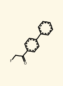 O=C(CF)c1ccc(-c2ccccc2)cc1